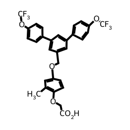 Cc1cc(OCc2cc(-c3ccc(OC(F)(F)F)cc3)cc(-c3ccc(OC(F)(F)F)cc3)c2)ccc1OCC(=O)O